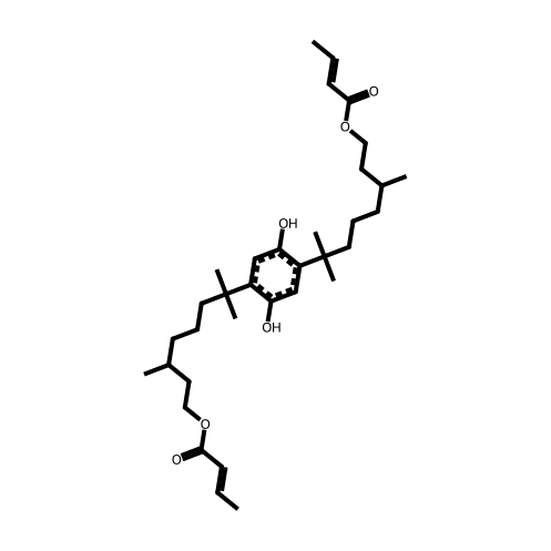 C/C=C/C(=O)OCCC(C)CCCC(C)(C)c1cc(O)c(C(C)(C)CCCC(C)CCOC(=O)/C=C/C)cc1O